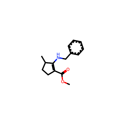 COC(=O)C1=C(NCc2ccccc2)C(C)CC1